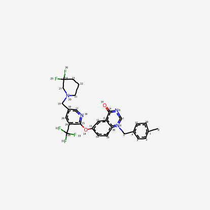 Cc1ccc(Cn2cnc(=O)c3cc(Oc4ncc(CN5CCCC(F)(F)C5)cc4C(F)(F)F)ccc32)cc1